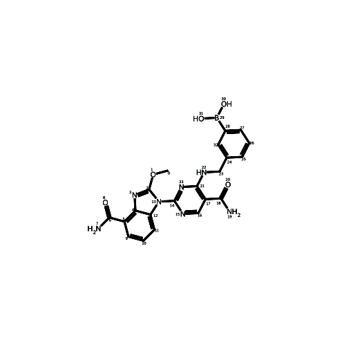 COc1nc2c(C(N)=O)cccc2n1-c1ncc(C(N)=O)c(NCc2cccc(B(O)O)c2)n1